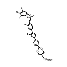 CCCCCC1COC(c2ccc(-c3ccc(-c4ccc(/C=C/C(F)(F)Oc5cc(F)c(F)c(F)c5)c(F)c4)c(F)c3)cc2)OC1